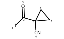 N#CC1(C(=O)I)CC1